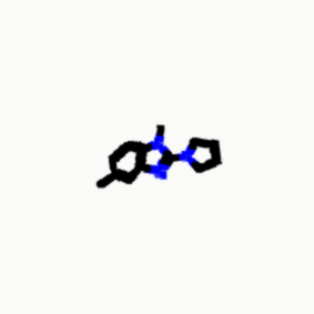 Cc1ccc2c(c1)nc(N1CCCC1)n2C